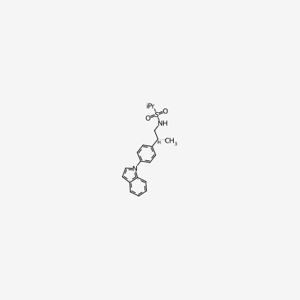 CC(C)S(=O)(=O)NC[C@H](C)c1ccc(-n2ccc3ccccc32)cc1